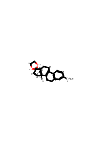 COc1ccc2c(c1)CCC1=C2CC[C@]2(C)[C@H]1CCC21OCCO1